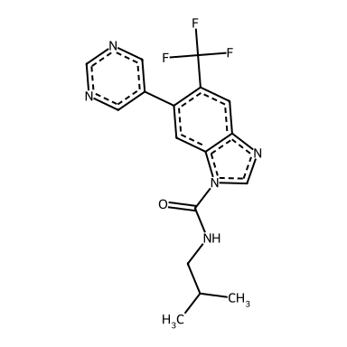 CC(C)CNC(=O)n1cnc2cc(C(F)(F)F)c(-c3cncnc3)cc21